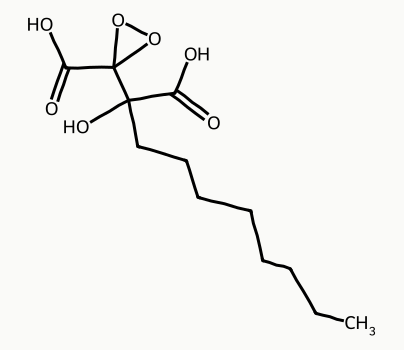 CCCCCCCCC(O)(C(=O)O)C1(C(=O)O)OO1